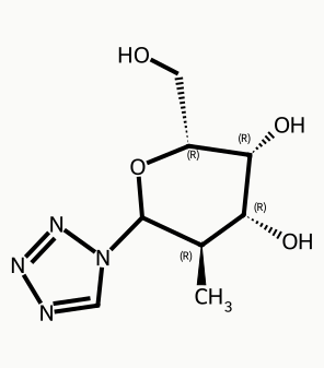 C[C@H]1C(n2cnnn2)O[C@H](CO)[C@H](O)[C@@H]1O